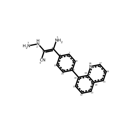 N#C/C(NN)=C(/N)c1ccc(-c2cccc3cccnc23)cc1